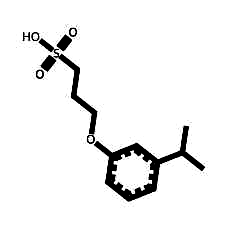 CC(C)c1cccc(OCCCS(=O)(=O)O)c1